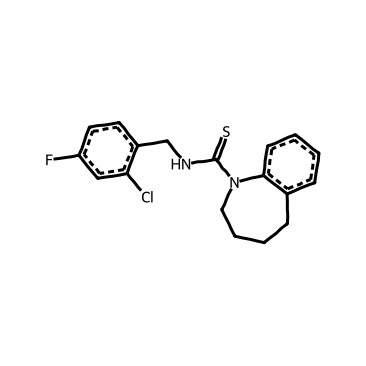 Fc1ccc(CNC(=S)N2CCCCc3ccccc32)c(Cl)c1